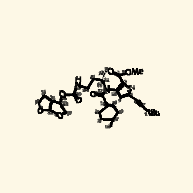 COC(=O)c1sc(C#CC(C)(C)C)cc1N(C(=O)C1CCC(C)CC1)[C@@H](C)CCNC(=O)OC1COC2OCCC12